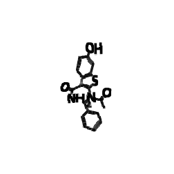 CC(=O)N(Cc1ccccc1)c1sc2cc(O)ccc2c1C(N)=O